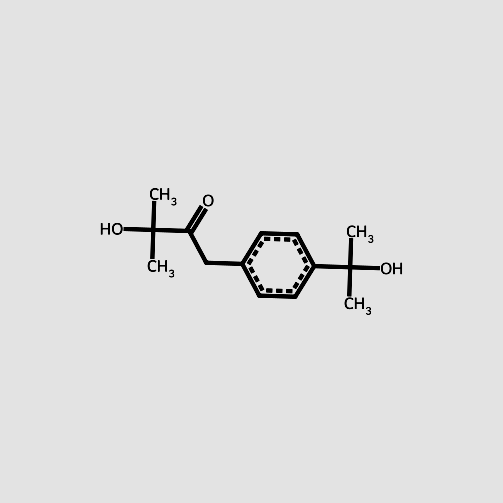 CC(C)(O)C(=O)Cc1ccc(C(C)(C)O)cc1